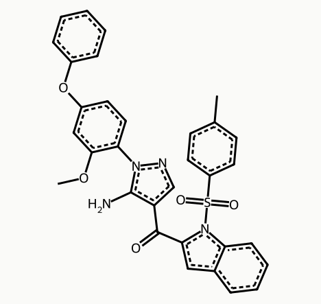 COc1cc(Oc2ccccc2)ccc1-n1ncc(C(=O)c2cc3ccccc3n2S(=O)(=O)c2ccc(C)cc2)c1N